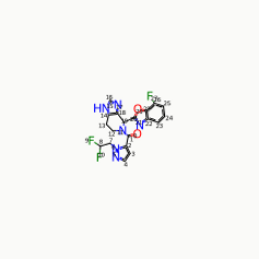 O=C(c1ccnn1CC(F)F)N1CCc2[nH]cnc2[C@H]1c1nc2cccc(F)c2o1